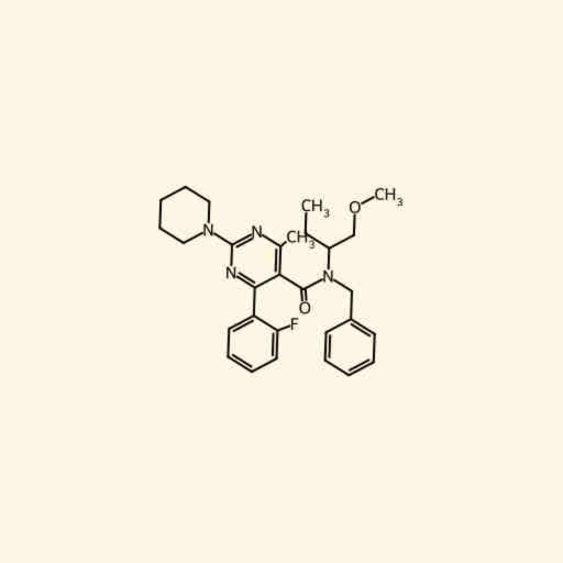 CCC(COC)N(Cc1ccccc1)C(=O)c1c(C)nc(N2CCCCC2)nc1-c1ccccc1F